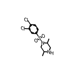 CC1CN(S(=O)(=O)c2ccc(Cl)c(Cl)c2)C(C)CN1